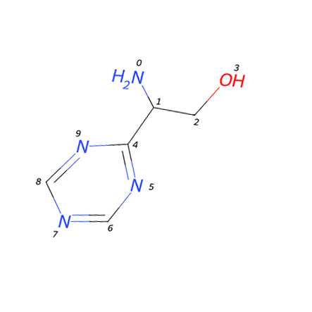 NC(CO)c1ncncn1